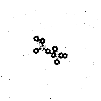 c1ccc(-c2nc(-c3ccc(-c4ccc(N(c5ccccc5)c5ccc6ccccc6c5)c5oc6ccccc6c45)cc3)nc(-c3cccc4c3oc3ccccc34)n2)cc1